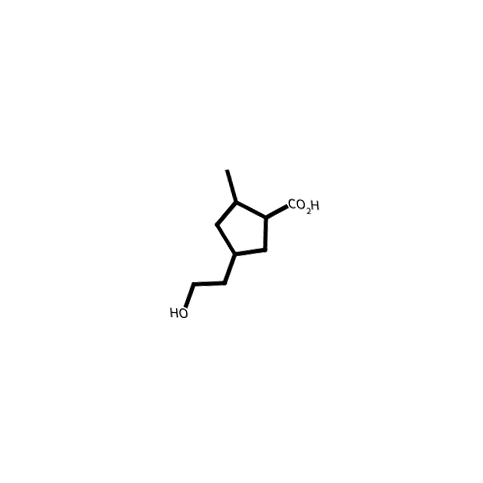 CC1CC(CCO)CC1C(=O)O